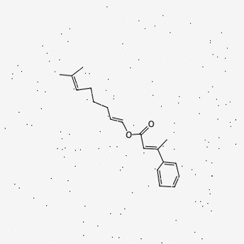 CC(C)=CCCCC=COC(=O)C=C(C)c1ccccc1